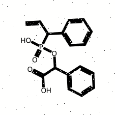 C=CC(c1ccccc1)P(=O)(O)OC(C(=O)O)c1ccccc1